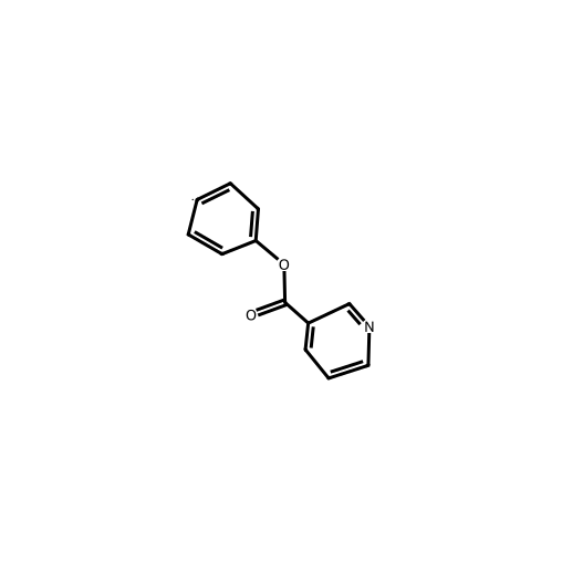 O=C(Oc1cc[c]cc1)c1cccnc1